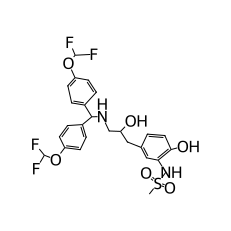 CS(=O)(=O)Nc1cc(CC(O)CNC(c2ccc(OC(F)F)cc2)c2ccc(OC(F)F)cc2)ccc1O